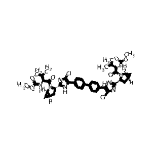 COC(=O)N[C@H](C(=O)N1[C@@H]2C[C@@H]2C[C@H]1c1nc(Cl)c(-c2ccc(-c3ccc(-c4[nH]c([C@@H]5C[C@H]6C[C@H]6N5C(=O)[C@@H](NC(=O)OC)C(C)C)nc4Cl)cc3)cc2)[nH]1)C(C)C